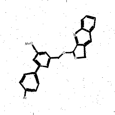 COc1cc(COC2OCc3cc4ccccc4nc32)cc(-c2ccc(C(C)=O)cc2)c1